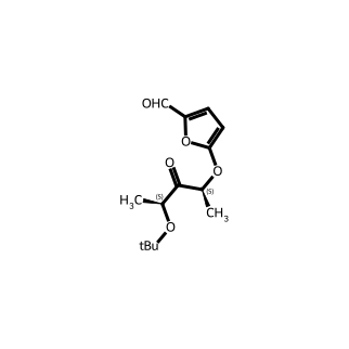 C[C@H](Oc1ccc(C=O)o1)C(=O)[C@H](C)OC(C)(C)C